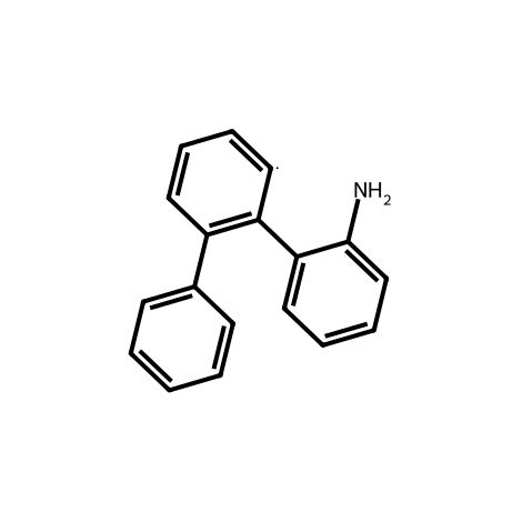 Nc1ccccc1-c1[c]cccc1-c1ccccc1